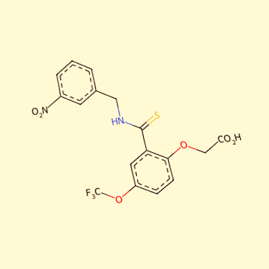 O=C(O)COc1ccc(OC(F)(F)F)cc1C(=S)NCc1cccc([N+](=O)[O-])c1